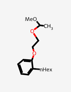 CCCCCCc1ccccc1OCCOC(C)OC